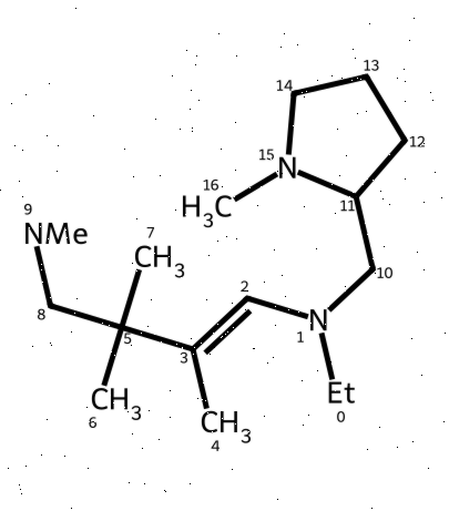 CCN(/C=C(\C)C(C)(C)CNC)CC1CCCN1C